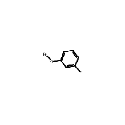 CCOc1c[c]cc(F)c1